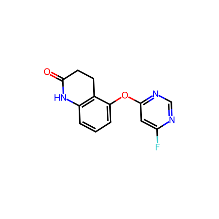 O=C1CCc2c(cccc2Oc2cc(F)ncn2)N1